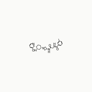 Cc1cccc(C(=O)NCC(=O)NC2CN([C@H]3CC[C@@H](c4ncccc4O)CC3)C2)c1